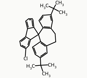 CC(C)(C)c1ccc2c(c1)CCc1cc(C(C)(C)C)ccc1C21c2ccccc2-c2ccc(Cl)cc21